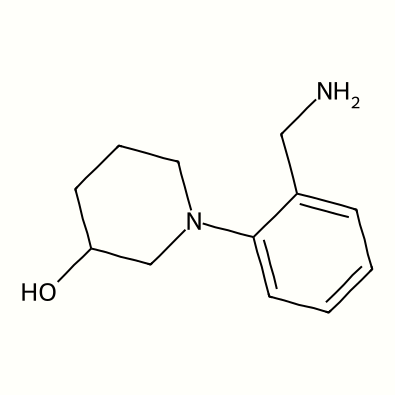 NCc1ccccc1N1CCCC(O)C1